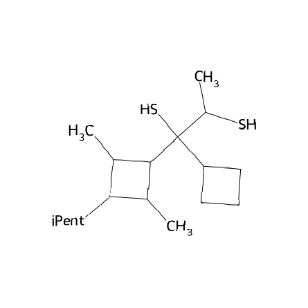 CCCC(C)C1C(C)C(C(S)(C(C)S)C2CCC2)C1C